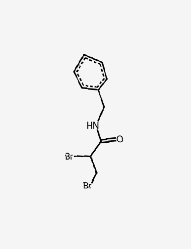 O=C(NCc1ccccc1)C(Br)CBr